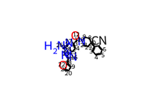 N#CC1(c2ccccc2)CCN(C(=O)c2cc3nc(-c4ccco4)nn3c(N)n2)CC1